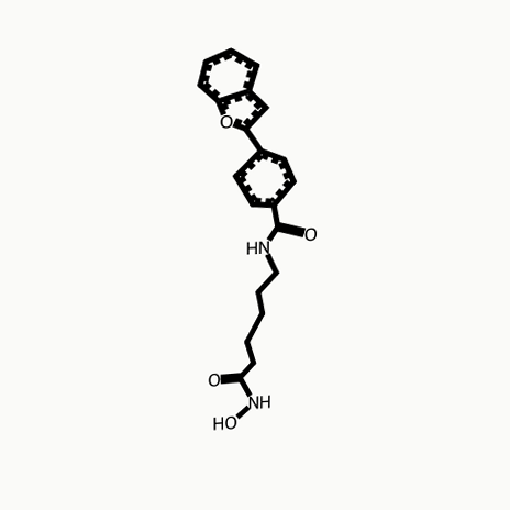 O=C(CCCCCNC(=O)c1ccc(-c2cc3ccccc3o2)cc1)NO